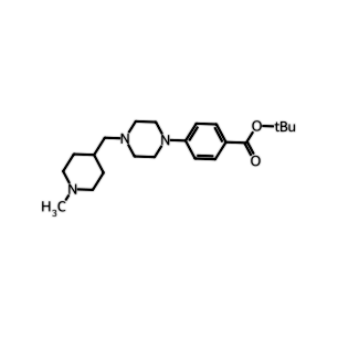 CN1CCC(CN2CCN(c3ccc(C(=O)OC(C)(C)C)cc3)CC2)CC1